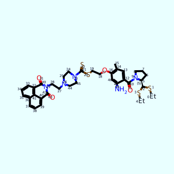 CCSC(SCC)[C@@H]1CCCN1C(=O)c1cc(C)c(OCCSC(=S)N2CCN(CCN3C(=O)c4cccc5cccc(c45)C3=O)CC2)cc1N